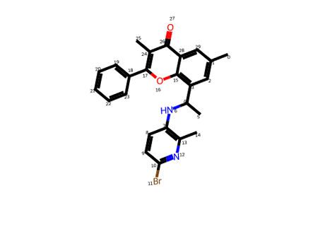 Cc1cc(C(C)Nc2ccc(Br)nc2C)c2oc(-c3ccccc3)c(C)c(=O)c2c1